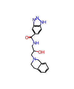 O=C(NCC(O)CN1CCc2ccccc2C1)c1ccc2[nH]nnc2c1